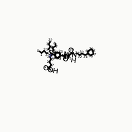 CCC[CH2][Sn]([CH2]CCC)([CH2]CCC)/[C](=C/CCCC(=O)O)c1ccc(-c2nc(C(=O)NCCCCC3CCCCC3)co2)cc1